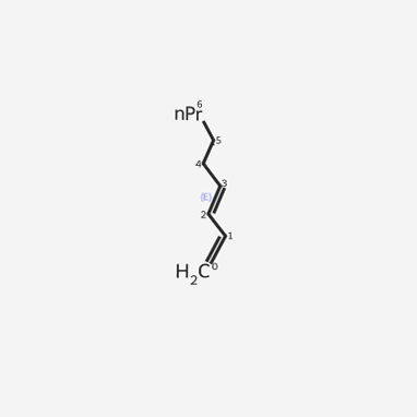 C=C/C=C/C[CH]CCC